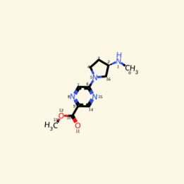 CN[C@@H]1CCN(c2cnc(C(=O)OC)cn2)C1